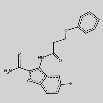 NC(=O)c1oc2ccc(F)cc2c1NC(=O)CCOc1ccccc1